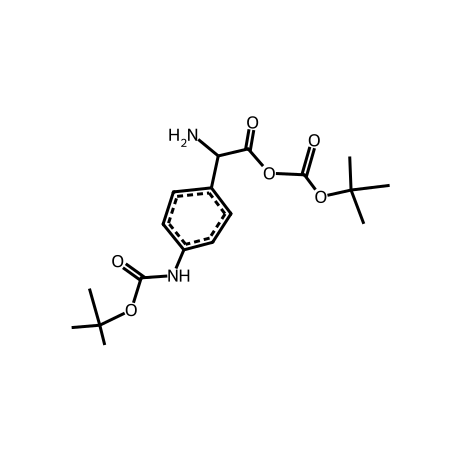 CC(C)(C)OC(=O)Nc1ccc(C(N)C(=O)OC(=O)OC(C)(C)C)cc1